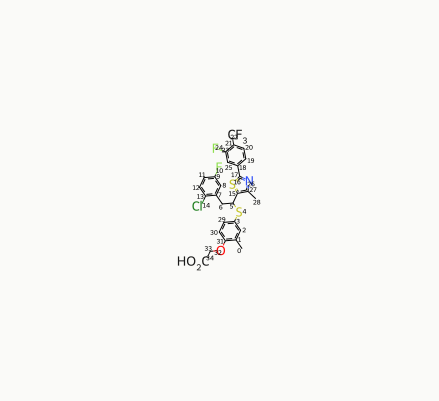 Cc1cc(SC(Cc2cc(F)ccc2Cl)c2sc(-c3ccc(C(F)(F)F)c(F)c3)nc2C)ccc1OCC(=O)O